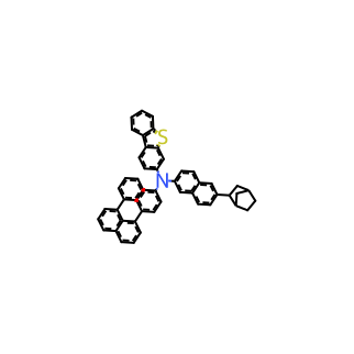 c1ccc(-c2cccc3cccc(-c4ccc(N(c5ccc6cc(C7CC8CCC7C8)ccc6c5)c5ccc6c(c5)sc5ccccc56)cc4)c23)cc1